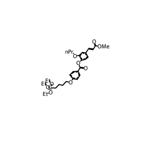 CCCOc1cc(/C=C/C(=O)OC)ccc1OC(=O)c1ccc(OCCCC[Si](OCC)(OCC)OCC)cc1